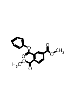 COC(=O)c1ccc(C(=O)OC)c(C(=O)Oc2ccccc2)c1